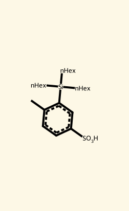 CCCCCC[Si](CCCCCC)(CCCCCC)c1cc(S(=O)(=O)O)ccc1C